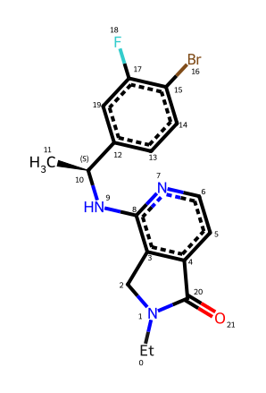 CCN1Cc2c(ccnc2N[C@@H](C)c2ccc(Br)c(F)c2)C1=O